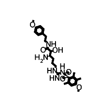 COc1ccc(CCNC(=O)C(O)[C@@H](N)CCCNC(=N)NS(=O)(=O)c2c(C)cc(OC)c(C)c2C)cc1